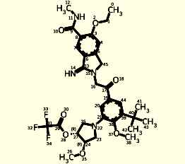 CCOc1cc2c(cc1C(=O)NC)C(=N)N(CC(=O)c1cc(N3C[C@@H](OC)[C@H](OC(=O)C(F)(F)F)C3)c(OC)c(C(C)(C)C)c1)C2